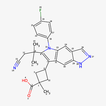 CC1(C(=O)O)CC(c2c(C(C)(C)CC#N)n(-c3ccc(F)cc3)c3cc4cn[nH]c4cc23)C1